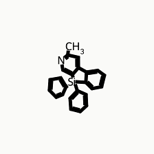 Cc1cc2c(cn1)[Si](c1ccccc1)(c1ccccc1)c1ccccc1-2